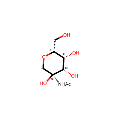 CC(=O)N[C@]1(O)[CH]O[C@H](CO)[C@H](O)[C@@H]1O